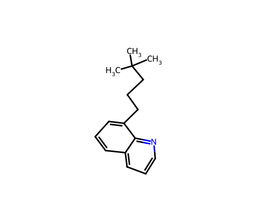 CC(C)(C)CCCc1cccc2cccnc12